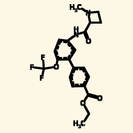 CCOC(=O)c1ccc(-c2cc(NC(=O)C3CCN3C)ccc2OC(F)(F)F)cc1